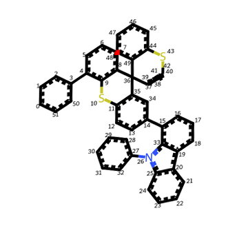 c1ccc(-c2cccc3c2Sc2ccc(-c4cccc5c6ccccc6n(-c6ccccc6)c45)cc2C32c3ccccc3Sc3ccccc32)cc1